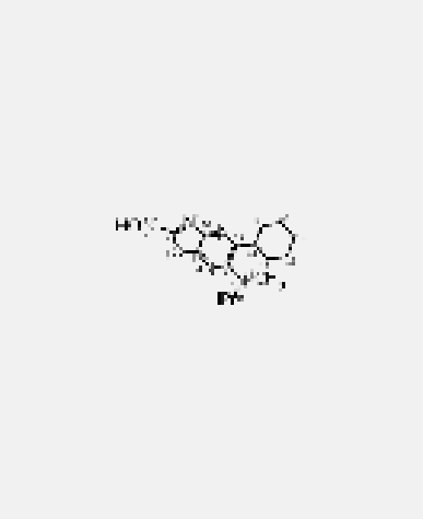 CC(C)N(C)c1nc2oc(C(=O)O)nc2nc1C1CCCCC1